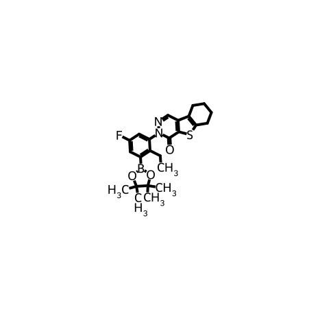 CCc1c(B2OC(C)(C)C(C)(C)O2)cc(F)cc1-n1ncc2c3c(sc2c1=O)CCCC3